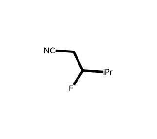 CC(C)C(F)CC#N